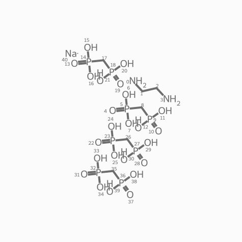 NCCN.O=P(O)(O)CP(=O)(O)O.O=P(O)(O)CP(=O)(O)O.O=P(O)(O)CP(=O)(O)O.O=P(O)(O)CP(=O)(O)O.[Na]